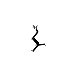 [2H]CC=C(C)C